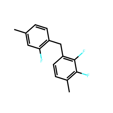 Cc1ccc(Cc2ccc(C)c(F)c2F)c(F)c1